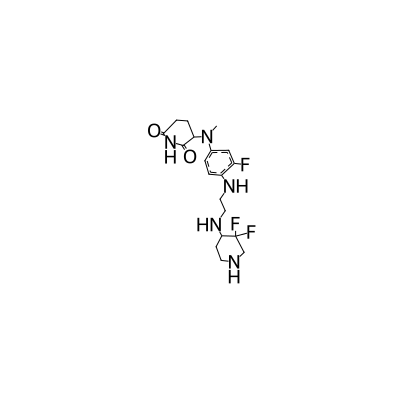 CN(c1ccc(NCCNC2CCNCC2(F)F)c(F)c1)C1CCC(=O)NC1=O